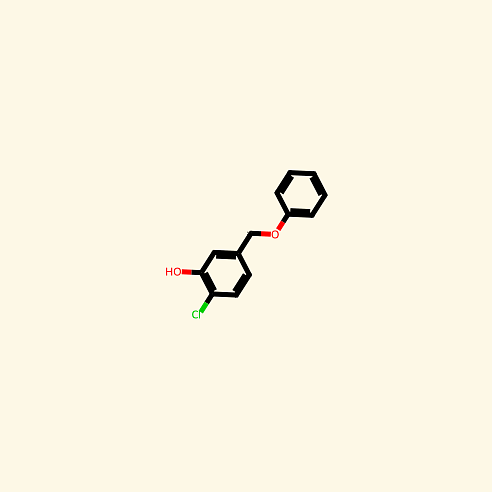 Oc1cc([C]Oc2ccccc2)ccc1Cl